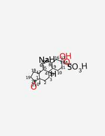 C[C@]12CC[C@@H]3C(=CCC4=C3CC[C@](O)(OS(=O)(=O)O)C4)C1CCC2=O.[NaH]